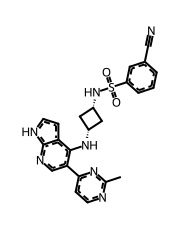 Cc1nccc(-c2cnc3[nH]ccc3c2N[C@H]2C[C@@H](NS(=O)(=O)c3cccc(C#N)c3)C2)n1